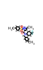 CC1=NN(S(=O)(=O)c2ccc(C)cc2)[C@@H](C(=O)N(Cc2ccc(C)cc2)C2CCC(F)(F)CC2)C1